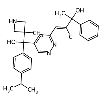 CC(C)c1ccc(C(O)(c2cnnc(C=C(Cl)C(C)(O)c3ccccc3)c2)C2(C)CNC2)cc1